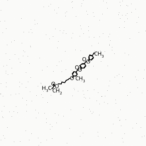 C=C(C)C(=O)OCCCCCCCOc1ccc(C(=O)Oc2ccc(C(=O)Oc3ccc(CC)cc3)cc2)cc1C